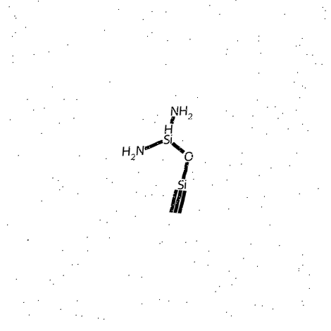 C#[Si]O[SiH](N)N